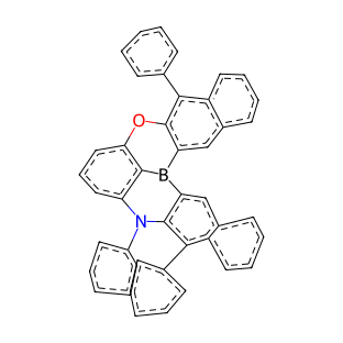 c1ccc(-c2c3c(cc4ccccc24)B2c4cc5ccccc5c(-c5ccccc5)c4N(c4ccccc4)c4cccc(c42)O3)cc1